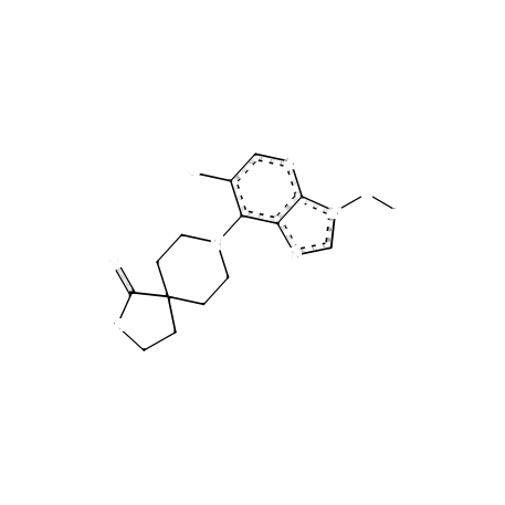 O=C1NCCC12CCN(c1c(Br)cnc3c1ncn3SF)CC2